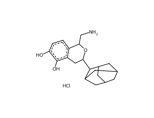 Cl.NCC1OC(C2C3CC4CC(C3)CC2C4)Cc2c1ccc(O)c2O